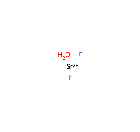 O.[I-].[I-].[Sr+2]